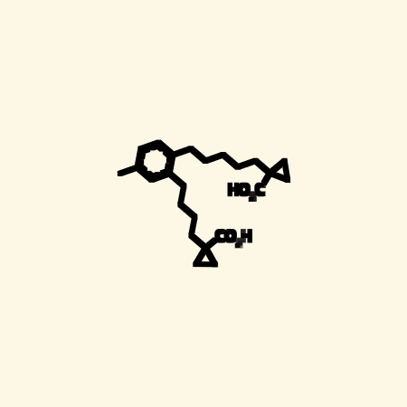 Cc1ccc(CCCCCC2(C(=O)O)CC2)c(CCCCC2(C(=O)O)CC2)c1